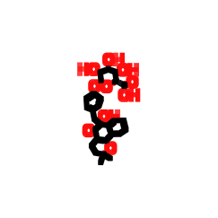 CC1(C)CCC2=C(O1)c1ccccc1C(O)(Cc1ccc(O[C@@H]3O[C@H](C(=O)O)[C@@H](O)[C@H](O)[C@H]3O)cc1)C2=O